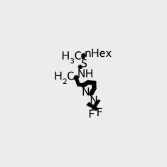 C=C(Cc1cccc(N2CC(F)(F)C2)n1)NCSC(C)CCCCCC